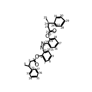 CC(CC(=O)Oc1ccccc1/N=N\c1ccccc1OC(=O)C[C@@H](C)c1ccccc1)c1ccccc1